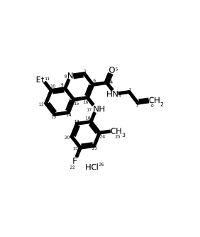 C=CCNC(=O)c1cnc2c(CC)cccc2c1Nc1ccc(F)cc1C.Cl